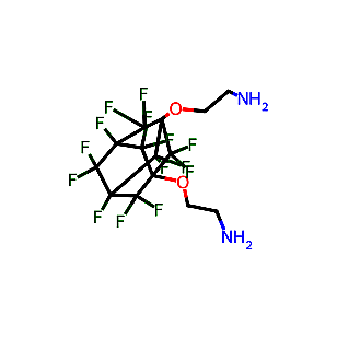 NCCOC12C(F)(F)C3(F)C(F)(F)C(F)(C1(F)F)C(F)(F)C(OCCN)(C3(F)F)C2(F)F